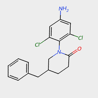 Nc1cc(Cl)c(N2CC(Cc3ccccc3)CCC2=O)c(Cl)c1